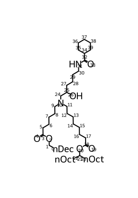 CCCCCCCCCCCOC(=O)CCCCCN(CCCCCCCC(=O)OC(CCCCCCCC)CCCCCCCC)CC(O)CCCCNC(=O)C1CCCCC1